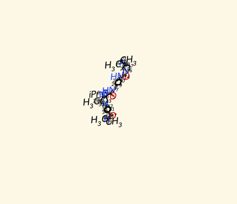 CC(C)n1nc(C(=O)NCc2ccc(NC(=O)N3CCC[C@@H](N(C)C)C3)cc2)c2c1[C@@H](C)CN(c1ccc(C(=O)N(C)C)cc1)C2